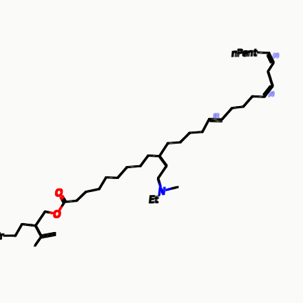 C=C(C)C(CCC(C)C)COC(=O)CCCCCCCCC(CCCC/C=C/CCC/C=C\C/C=C\CCCCC)CCN(C)CC